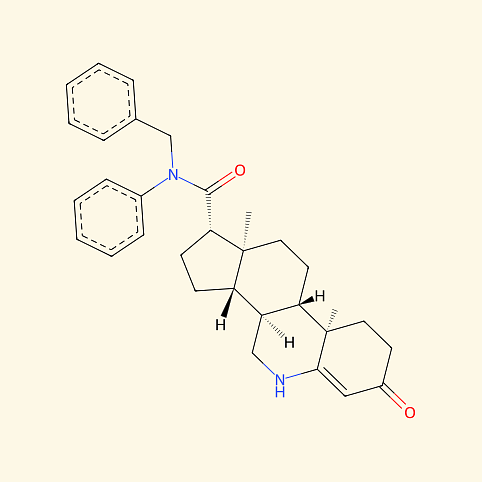 C[C@]12CC[C@H]3[C@@H](CNC4=CC(=O)CC[C@@]43C)[C@@H]1CC[C@@H]2C(=O)N(Cc1ccccc1)c1ccccc1